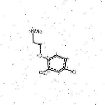 CNCCOc1ccc(Cl)cc1Cl